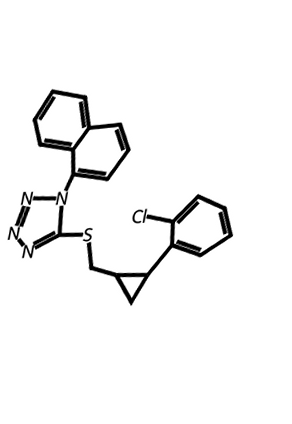 Clc1ccccc1C1CC1CSc1nnnn1-c1cccc2ccccc12